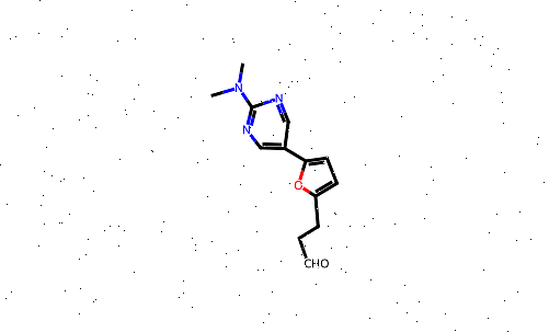 CN(C)c1ncc(-c2ccc(CCC=O)o2)cn1